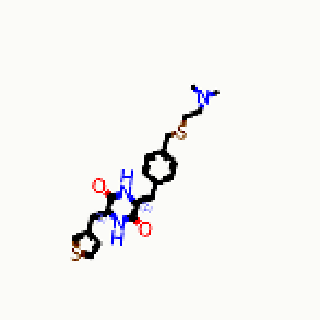 CN(C)CCSCc1ccc(/C=c2\[nH]c(=O)/c(=C/c3ccsc3)[nH]c2=O)cc1